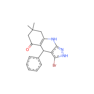 CC1(C)CC(=O)C2=C(C1)Nc1n[nH]c(Br)c1C2c1ccccc1